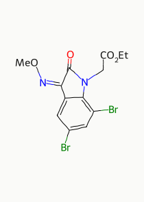 CCOC(=O)CN1C(=O)C(=NOC)c2cc(Br)cc(Br)c21